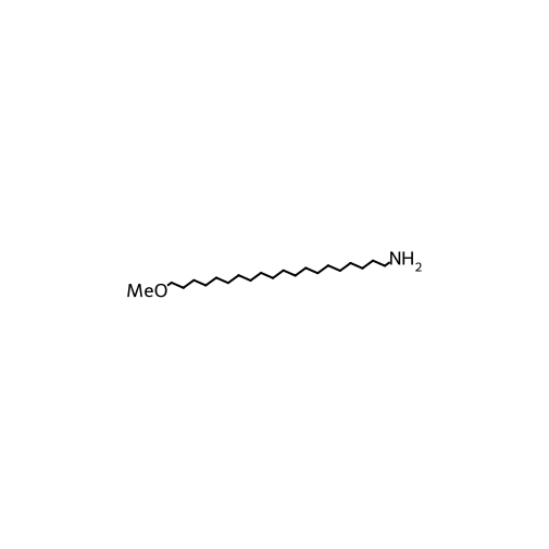 COCCCCCCCCCCCCCCCCCCCCN